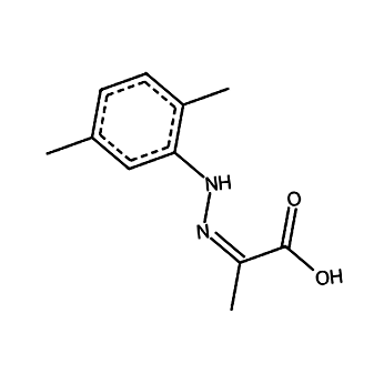 CC(=NNc1cc(C)ccc1C)C(=O)O